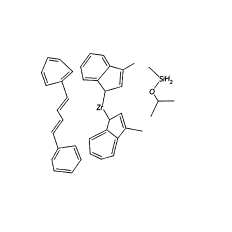 C(C=Cc1ccccc1)=Cc1ccccc1.CC1=C[CH]([Zr][CH]2C=C(C)c3ccccc32)c2ccccc21.C[SiH2]OC(C)C